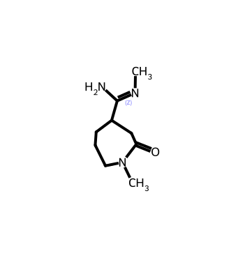 C/N=C(\N)C1CCCN(C)C(=O)C1